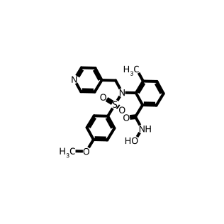 COc1ccc(S(=O)(=O)N(Cc2ccncc2)c2c(C)cccc2C(=O)NO)cc1